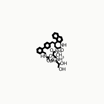 COC(=O)NCc1ccccc1-c1ccc(CC2C[C@@H](NC(=O)CC(C)(C)NC[C@H](O)CO)C(=O)Nc3ccc4ccccc4c32)cc1